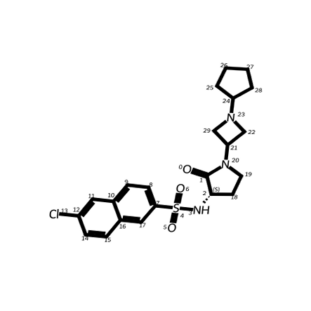 O=C1[C@@H](NS(=O)(=O)c2ccc3cc(Cl)ccc3c2)CCN1C1CN(C2CCCC2)C1